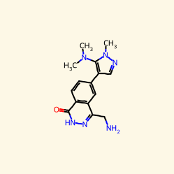 CN(C)c1c(-c2ccc3c(=O)[nH]nc(CN)c3c2)cnn1C